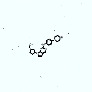 OC[C@@H]1CCC(n2ccc3cnc(Nc4ccc(N5CCNCC5)cc4)nc32)C1